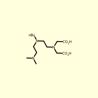 CCCCN(CCN(C)C)CCN(CC(=O)O)CC(=O)O